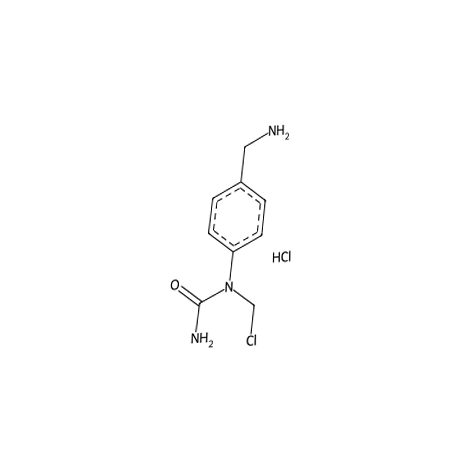 Cl.NCc1ccc(N(CCl)C(N)=O)cc1